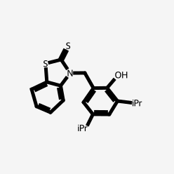 CC(C)c1cc(Cn2c(=S)sc3ccccc32)c(O)c(C(C)C)c1